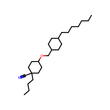 CCCCCCCC1CCC(COC2CCC(C#N)(CCCC)CC2)CC1